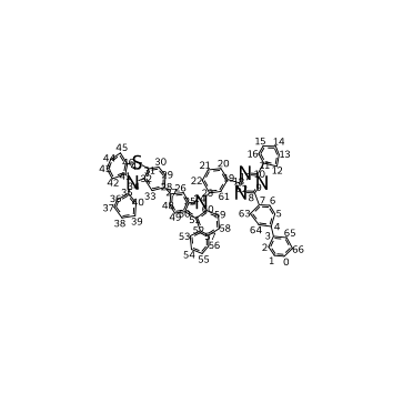 c1ccc(-c2ccc(-c3nc(-c4ccccc4)nc(-c4cccc(-n5c6cc(-c7ccc8c(c7)N(c7ccccc7)c7ccccc7S8)ccc6c6c7ccccc7ccc65)c4)n3)cc2)cc1